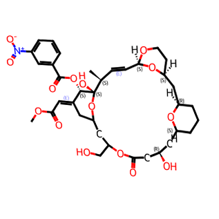 COC(=O)/C=C1\CC2CC(CO)OC(=O)C[C@H](O)C[C@@H]3CCC[C@H](C[C@@H]4CCO[C@H](/C=C/[C@H](C)[C@](O)(O2)[C@H]1OC(=O)c1cccc([N+](=O)[O-])c1)O4)O3